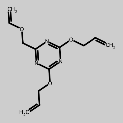 C=CCOc1nc(COC=C)nc(OCC=C)n1